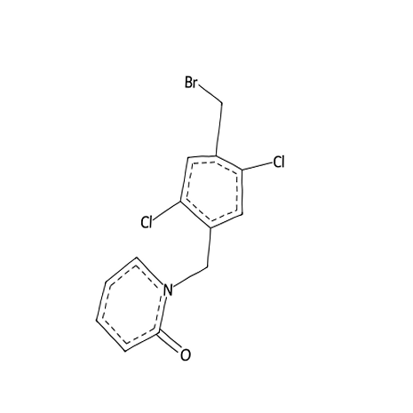 O=c1ccccn1Cc1cc(Cl)c(CBr)cc1Cl